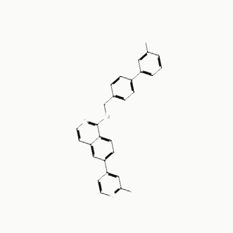 Cc1cccc(-c2ccc(CNc3nccc4cc(-c5ccnc(C)c5)ccc34)cc2)c1